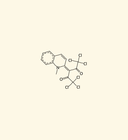 CN1C(=C(C(=O)C(Cl)(Cl)Cl)C(=O)C(Cl)(Cl)Cl)C=Cc2ccccc21